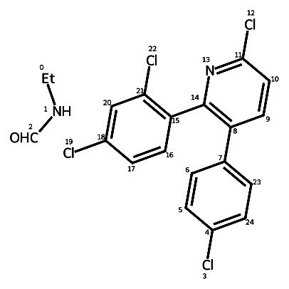 CCNC=O.Clc1ccc(-c2ccc(Cl)nc2-c2ccc(Cl)cc2Cl)cc1